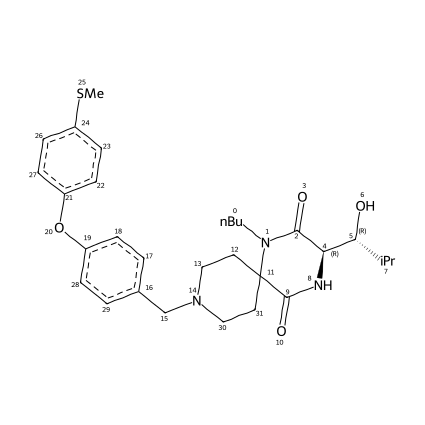 CCCCN1C(=O)[C@@H]([C@H](O)C(C)C)NC(=O)C12CCN(Cc1ccc(Oc3ccc(SC)cc3)cc1)CC2